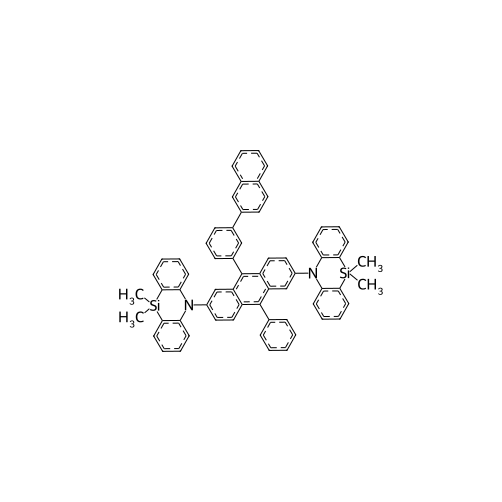 C[Si]1(C)c2ccccc2N(c2ccc3c(-c4cccc(-c5ccc6ccccc6c5)c4)c4cc(N5c6ccccc6[Si](C)(C)c6ccccc65)ccc4c(-c4ccccc4)c3c2)c2ccccc21